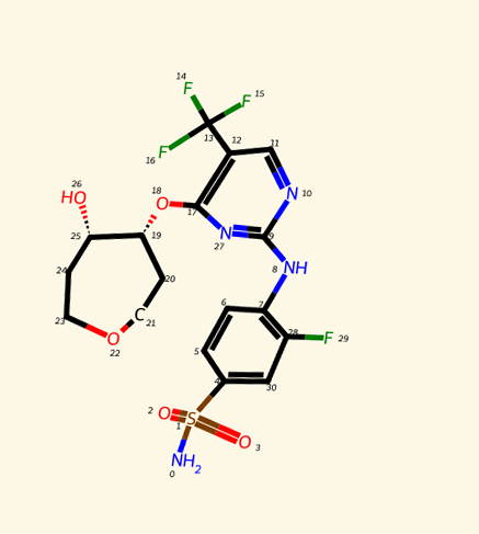 NS(=O)(=O)c1ccc(Nc2ncc(C(F)(F)F)c(O[C@@H]3CCOCC[C@@H]3O)n2)c(F)c1